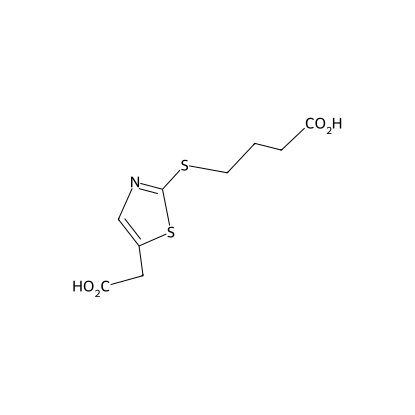 O=C(O)CCCSc1ncc(CC(=O)O)s1